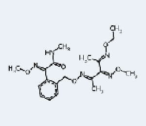 CCO/N=C(C)/C(=N\OC)C(/C)=N/OCc1ccccc1/C(=N\OC)C(=O)NC